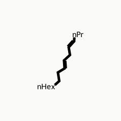 [CH2]CCC=CCC=CCCCCCCCC